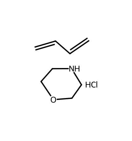 C1COCCN1.C=CC=C.Cl